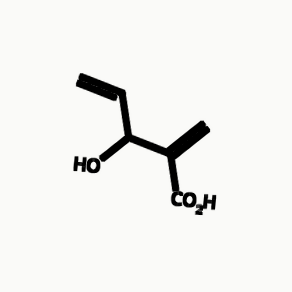 C=CC(O)C(=C)C(=O)O